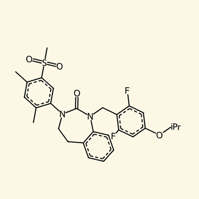 Cc1cc(C)c(S(C)(=O)=O)cc1N1CCc2ccccc2N(Cc2c(F)cc(OC(C)C)cc2F)C1=O